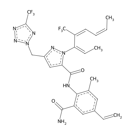 C=Cc1cc(C)c(NC(=O)c2cc(Cn3nnc(C(F)(F)F)n3)nn2C(=CC)/C(=C\C=C/C)C(F)(F)F)c(C(N)=O)c1